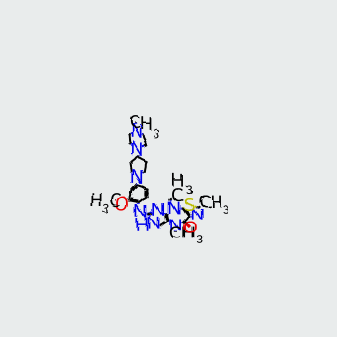 CCN1c2nc(Nc3ccc(N4CCC(N5CCN(C)CC5)CC4)cc3OC)ncc2N(C)C(=O)c2nc(C)sc21